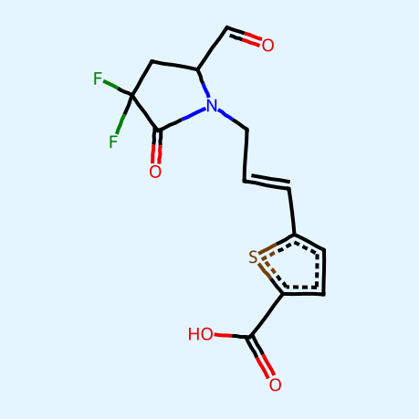 O=CC1CC(F)(F)C(=O)N1CC=Cc1ccc(C(=O)O)s1